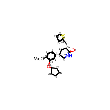 COc1ccc([C@H]2CNC(=O)[C@@H](Cc3cccs3)C2)cc1OC1CCCC1